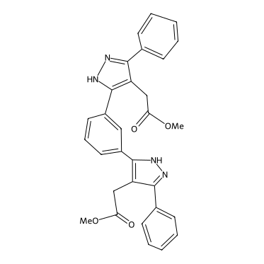 COC(=O)Cc1c(-c2ccccc2)n[nH]c1-c1cccc(-c2[nH]nc(-c3ccccc3)c2CC(=O)OC)c1